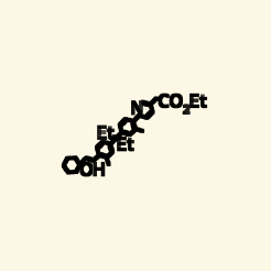 CCOC(=O)Cc1ccc(-c2ccc(C(CC)(CC)c3ccc(C=CC4(O)CCCCC4)c(C)c3)cc2C)nc1